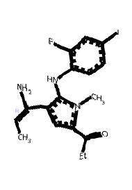 C/C=C(/N)c1cc(C(=O)CC)n(C)c1Nc1ccc(I)cc1F